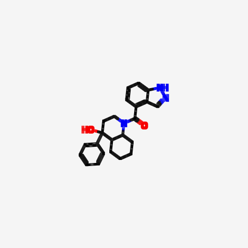 O=C(c1cccc2[nH]ncc12)N1CCC(O)(c2ccccc2)C2CCCCC21